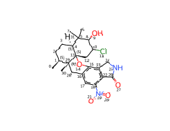 C[C@H]1CC[C@H]2C(C)(C)C(O)C(Cl)C[C@]23Oc2c(cc([N+](=O)[O-])c4c2CNC4=O)C[C@]13C